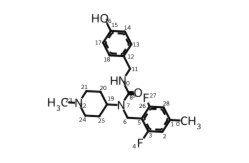 Cc1cc(F)c(CN(C(=O)NCc2ccc(O)cc2)C2CCN(C)CC2)c(F)c1